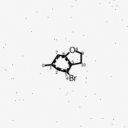 Cc1cc(Br)c2c(c1)OCC2